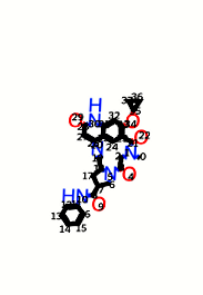 CN(CC(=O)N1CC(C(=O)Nc2ccccc2)CC1C#N)C(=O)c1cc2ccc(=O)[nH]c2cc1OC1CC1